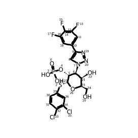 O=P(O)(O)O[C@@H]1[C@@H](n2cc(-c3cc(F)c(F)c(F)c3)nn2)[C@@H](O)[C@@H](CO)O[C@@H]1Sc1ccc(Cl)c(Cl)c1